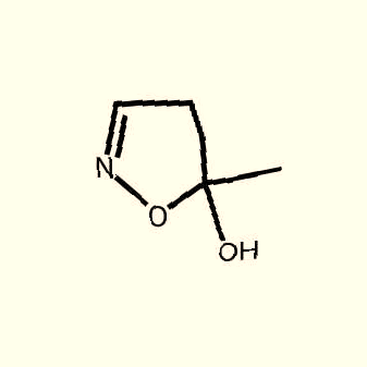 CC1(O)CC=NO1